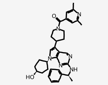 Cc1cc(C(=O)N2CCC(c3cn([C@H]4CC[C@H](O)CC4)c4nc(N[C@@H](C)c5ccccc5)ncc34)CC2)cc(C)n1